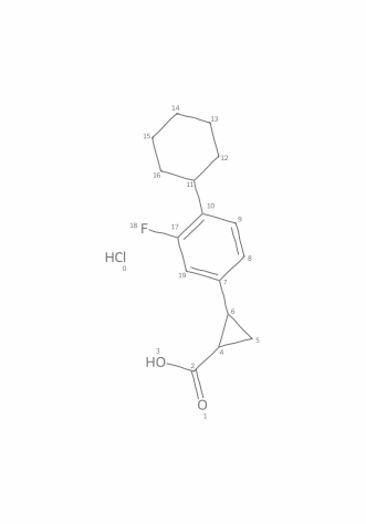 Cl.O=C(O)C1CC1c1ccc(C2CCCCC2)c(F)c1